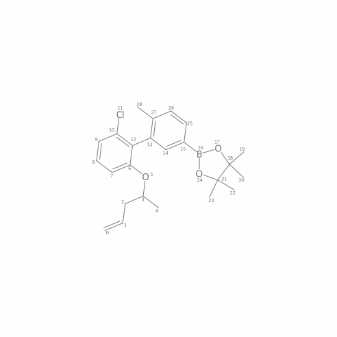 C=CCC(C)Oc1cccc(Cl)c1-c1cc(B2OC(C)(C)C(C)(C)O2)ccc1C